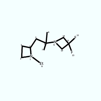 CCN1CCC1CC(C)(C)N1CC(F)(F)C1